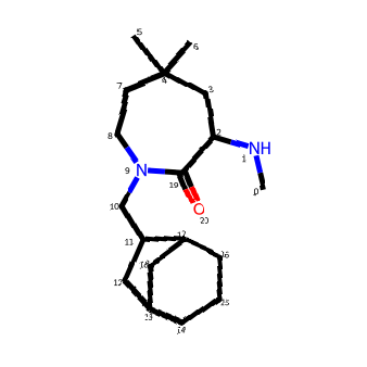 CNC1CC(C)(C)CCN(CC2CC3CCCC2C3)C1=O